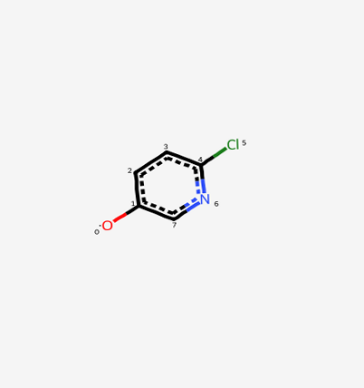 [O]c1ccc(Cl)nc1